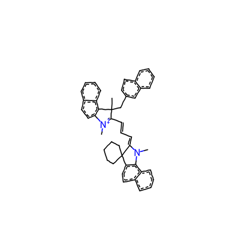 CN1/C(=C/C=C/C2=[N+](C)c3ccc4ccccc4c3C2(C)Cc2ccc3ccccc3c2)C2(CCCCC2)c2ccc3ccccc3c21